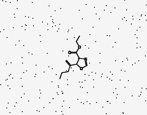 C=C(CCC)C1OC=NC1C(=O)OCC